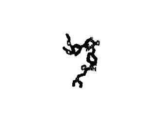 CCOc1cc(C2=NN(Cc3ccc(NC(=O)CCN(CC)CC)cc3)C(=O)SC2)ccc1OC